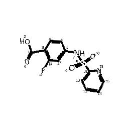 O=C(O)c1ccc(NS(=O)(=O)c2ccccn2)cc1F